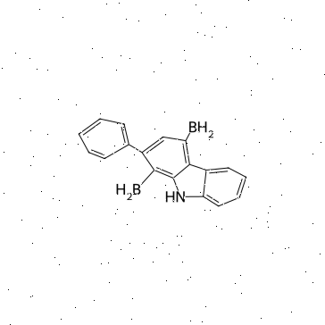 Bc1c(-c2ccccc2)cc(B)c2c1[nH]c1ccccc12